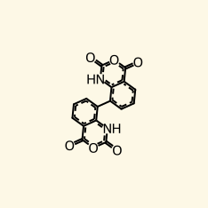 O=c1[nH]c2c(-c3cccc4c(=O)oc(=O)[nH]c34)cccc2c(=O)o1